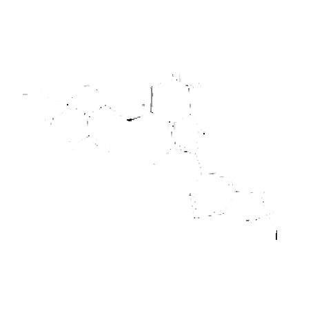 CC(C)(C)N(CC[C@H]1CNC(=O)c2cc(-c3cccc(OC(F)(F)F)c3)c(I)n21)C(=O)O